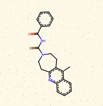 Cc1c2c(nc3ccccc13)CCN(C(=S)NC(=O)c1ccccc1)CC2